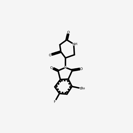 CC(C)(C)c1cc(F)cc2c1C(=O)N(C1CNC(=O)CC1=O)C2=O